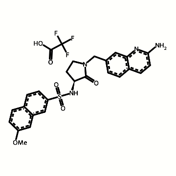 COc1ccc2ccc(S(=O)(=O)N[C@H]3CCN(Cc4ccc5ccc(N)nc5c4)C3=O)cc2c1.O=C(O)C(F)(F)F